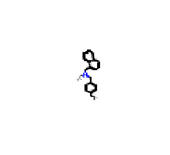 Cc1ccc(CN(C)Cc2cccc3ccccc23)cc1